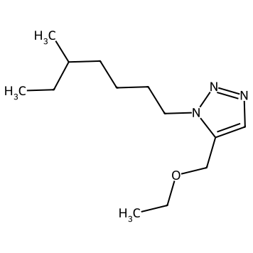 CCOCc1cnnn1CCCCC(C)CC